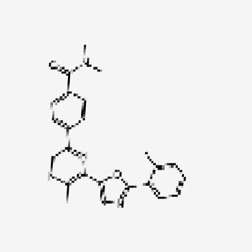 Cc1ccccc1-c1nnc(-c2nc(-c3ccc(C(=O)N(C)C)cc3)cnc2C)o1